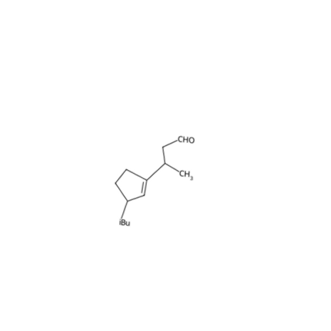 CCC(C)C1C=C(C(C)CC=O)CC1